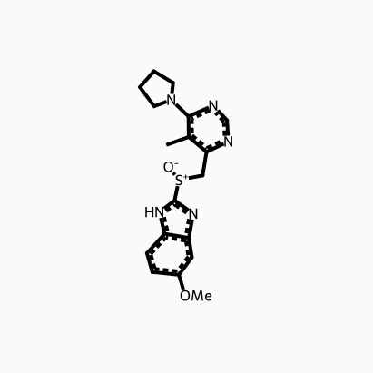 COc1ccc2[nH]c([S+]([O-])Cc3ncnc(N4CCCC4)c3C)nc2c1